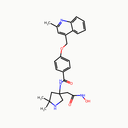 Cc1cc(COc2ccc(C(=O)NC3(CC(=O)NO)CNC(C)(C)C3)cc2)c2ccccc2n1